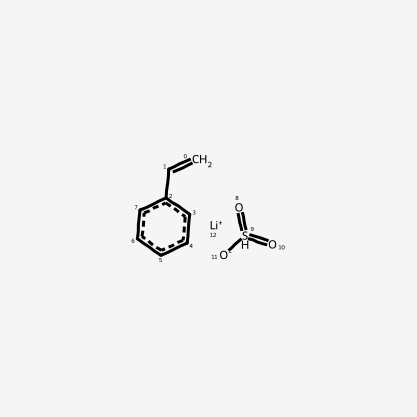 C=Cc1ccccc1.O=[SH](=O)[O-].[Li+]